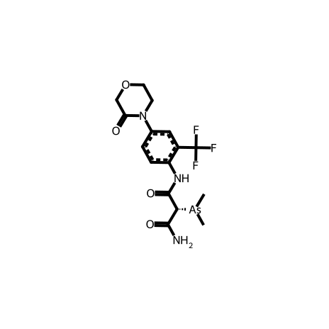 C[As](C)[C@H](C(N)=O)C(=O)Nc1ccc(N2CCOCC2=O)cc1C(F)(F)F